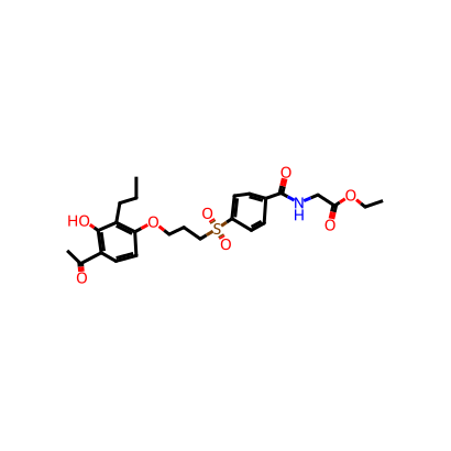 CCCc1c(OCCCS(=O)(=O)c2ccc(C(=O)NCC(=O)OCC)cc2)ccc(C(C)=O)c1O